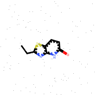 CCc1nc2[nH]c(=O)ccc2s1